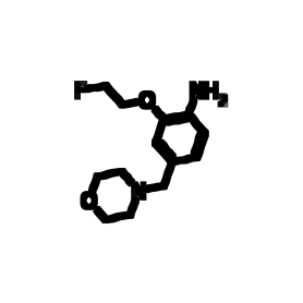 Nc1ccc(CN2CCOCC2)cc1OCCF